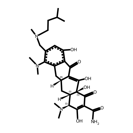 CC(C)CCN(C)Cc1cc(O)c2c(c1N(C)C)C[C@H]1C[C@H]3[C@H](N(C)C)C(O)=C(C(N)=O)C(=O)[C@@]3(O)C(O)=C1C2=O